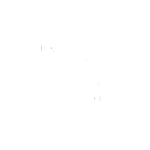 CSC1=CCC(C)CS1